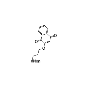 CCCCCCCCCCCCOC1=CC(=O)c2ccccc2C1=O